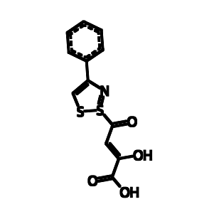 O=C(O)C(O)=CC(=O)S1=NC(c2ccccc2)=CS1